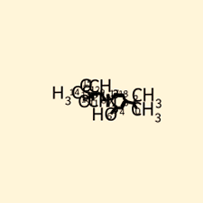 CC(C)C1=CC(O)N(CCC(C)(C)S(C)(=O)=O)C=C1